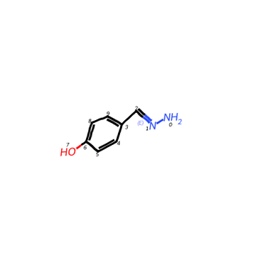 N/N=C/c1ccc(O)cc1